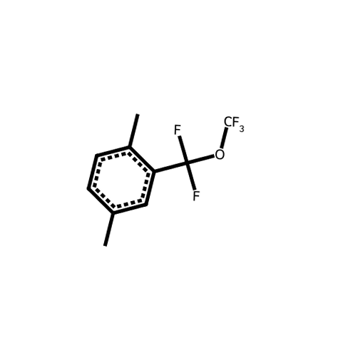 Cc1ccc(C)c(C(F)(F)OC(F)(F)F)c1